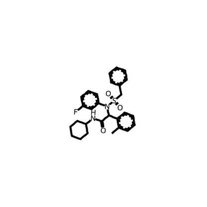 Cc1ccccc1C(C(=O)NC1CCCCC1)N(c1cccc(F)c1)S(=O)(=O)Cc1ccccc1